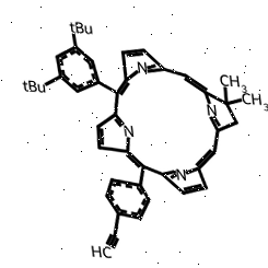 C#Cc1ccc(C2=C3C=CC(=N3)C(c3cc(C(C)(C)C)cc(C(C)(C)C)c3)=C3C=CC(=N3)C=C3N=C(C=C4C=CC2=N4)CC3(C)C)cc1